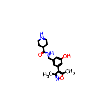 Cc1noc(C)c1-c1cc(O)cc(CNC(=O)C2CCNCC2)c1